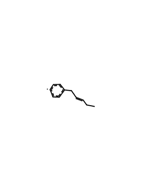 CC/C=C/Cc1cc[c]cc1